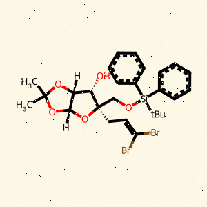 CC1(C)O[C@H]2O[C@](CC=C(Br)Br)(CO[Si](c3ccccc3)(c3ccccc3)C(C)(C)C)[C@@H](O)[C@H]2O1